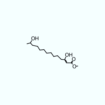 COC(=O)C=C(O)CCCCCCCCCC(C)O